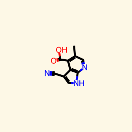 Cc1cnc2[nH]cc(C#N)c2c1C(=O)O